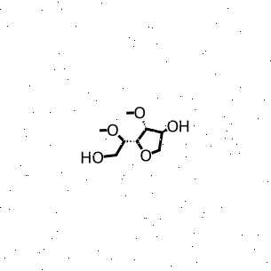 COC(CO)[C@H]1OC[C@H](O)[C@H]1OC